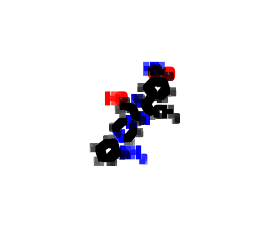 Cc1nc(N2CCN(c3ccccc3N)CC2)c(CO)nc1-c1ccc2c(c1)ONO2